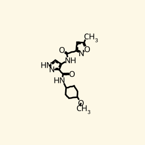 COC1CCC(NC(=O)c2n[nH]cc2NC(=O)c2cc(C)on2)CC1